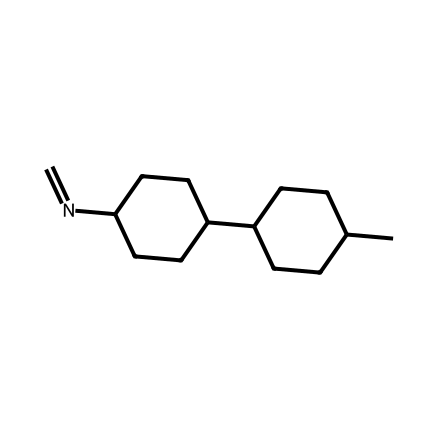 C=NC1CCC(C2CCC(C)CC2)CC1